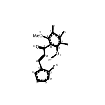 COc1c(C)c(C)c(C)c(OI)c1C(=O)/C=C/c1ccccc1F